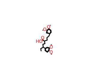 CCC(CCC(CCCc1ccc(OC)c(OC)c1)C(=O)O)c1ccc(OC)c(OC)c1